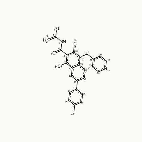 C=C(CC)NC(=O)c1c(O)c2cc(-c3ccc(F)cc3)cnc2n(Cc2ccncc2)c1=O